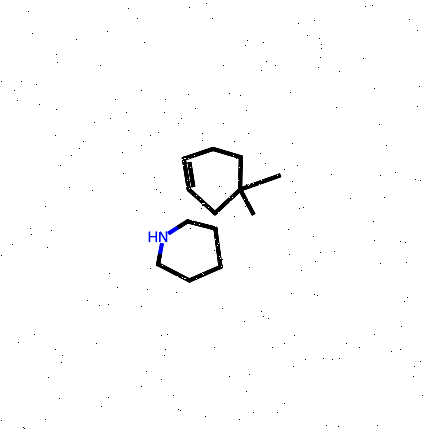 C1CCNCC1.CC1(C)CC=CCC1